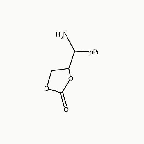 CCCC(N)C1COC(=O)O1